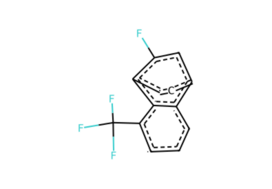 Fc1cc2ccc1c1c(C(F)(F)F)[c]ccc21